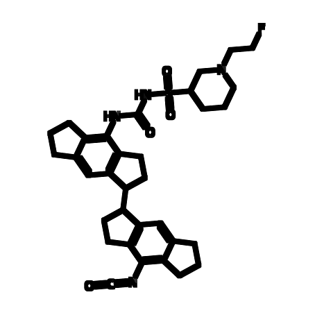 O=C=Nc1c2c(cc3c1CCC3C1CCc3c1cc1c(c3NC(=O)NS(=O)(=O)C3CCCN(CCF)C3)CCC1)CCC2